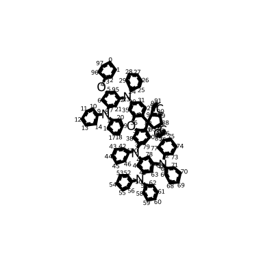 c1ccc(Oc2cc(N(c3ccccc3)c3ccccc3)cc(N(c3ccccc3)c3ccc4c(c3)Oc3cc(N(c5ccccc5)c5cc(N(c6ccccc6)c6ccccc6)cc(N(c6ccccc6)c6ccccc6)c5)ccc3C43c4ccccc4-c4ccccc43)c2)cc1